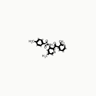 Cc1ccc(S(=O)(=O)Nc2cc(C)cnc2C(=O)c2cccnc2C)cc1